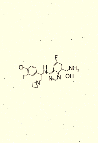 NC(O)c1cc(F)cc2c(N[C@H](CN3CCC3)c3ccc(Cl)c(F)c3)ncnc12